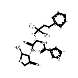 C[C@@H]1OCC(=O)[C@H]1NC(=O)[C@H](CC(C)(C)CCc1ccccc1)NC(=O)c1ccsc1